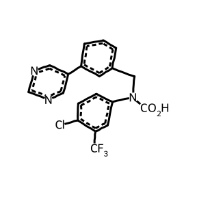 O=C(O)N(Cc1cccc(-c2cncnc2)c1)c1ccc(Cl)c(C(F)(F)F)c1